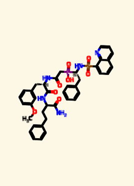 COc1cccc(C[C@H](NC(=O)CP(=O)(O)[C@@H](Cc2ccccc2)NS(=O)(=O)c2cccc3cccnc23)C(=O)NC(CCc2ccccc2)C(N)=O)c1